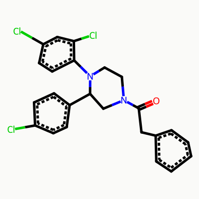 O=C(Cc1ccccc1)N1CCN(c2ccc(Cl)cc2Cl)C(c2ccc(Cl)cc2)C1